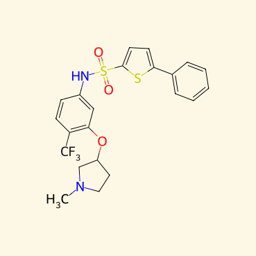 CN1CCC(Oc2cc(NS(=O)(=O)c3ccc(-c4ccccc4)s3)ccc2C(F)(F)F)C1